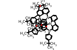 CC(C)(C)c1ccc(N(c2ccc(C(C)(C)C)cc2)c2cccc3c4cccc(N(c5ccc(C(C)(C)C)cc5)c5ccc(C(C)(C)C)cc5)c4n(-c4cc5c6c(c4)-n4c7ccc(C(C)(C)C)cc7c7cc(C(C)(C)C)cc(c74)B6c4cc(C(C)(C)C)ccc4O5)c23)cc1